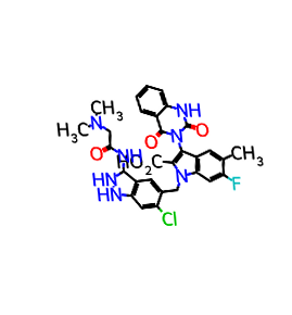 Cc1cc2c(-n3c(=O)[nH]c4ccccc4c3=O)c(C(=O)O)n(Cc3cc4c(cc3Cl)NNC4NC(=O)CN(C)C)c2cc1F